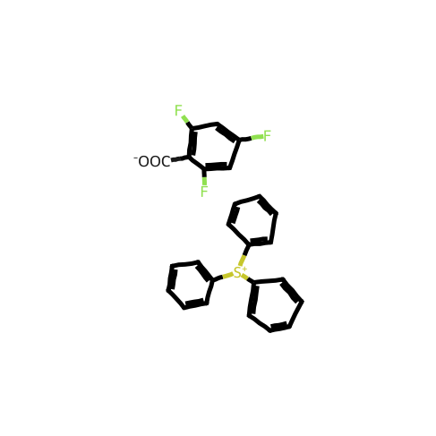 O=C([O-])c1c(F)cc(F)cc1F.c1ccc([S+](c2ccccc2)c2ccccc2)cc1